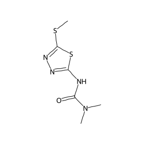 CSc1nnc(NC(=O)N(C)C)s1